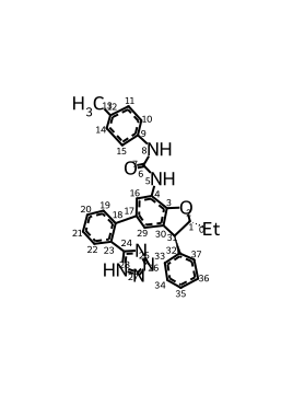 CC[C@H]1Oc2c(NC(=O)Nc3ccc(C)cc3)cc(-c3ccccc3-c3nnn[nH]3)cc2[C@@H]1c1ccccc1